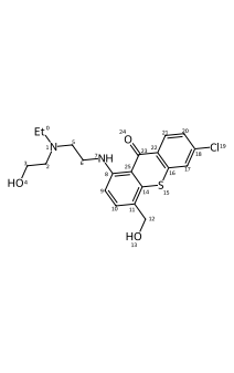 CCN(CCO)CCNc1ccc(CO)c2sc3cc(Cl)ccc3c(=O)c12